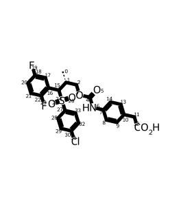 C[C@H](COC(=O)Nc1ccc(CC(=O)O)cc1)C(c1cc(F)ccc1F)S(=O)(=O)c1ccc(Cl)cc1